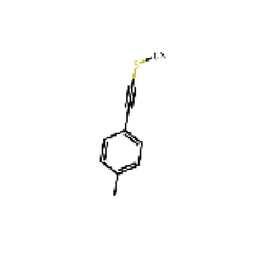 Cc1ccc(C#CSC#N)cc1